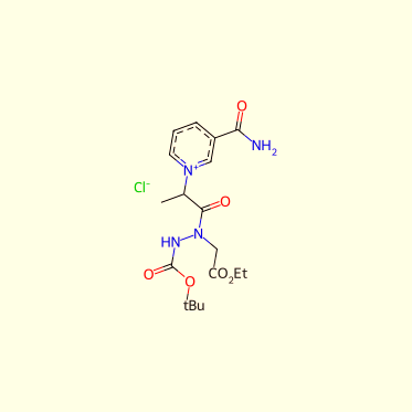 CCOC(=O)CN(NC(=O)OC(C)(C)C)C(=O)C(C)[n+]1cccc(C(N)=O)c1.[Cl-]